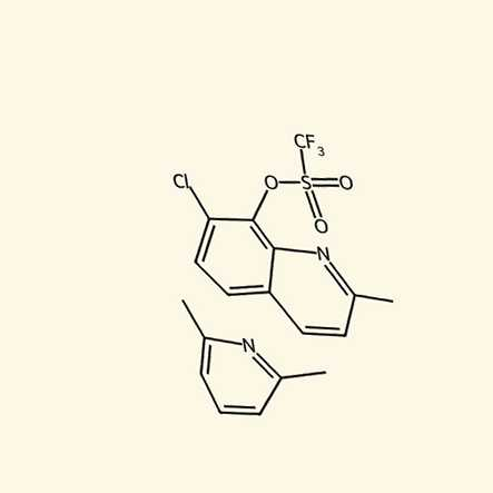 Cc1ccc2ccc(Cl)c(OS(=O)(=O)C(F)(F)F)c2n1.Cc1cccc(C)n1